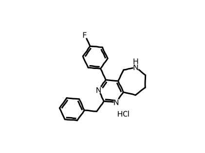 Cl.Fc1ccc(-c2nc(Cc3ccccc3)nc3c2CNCCC3)cc1